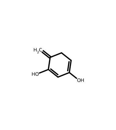 C=C1CC=C(O)C=C1O